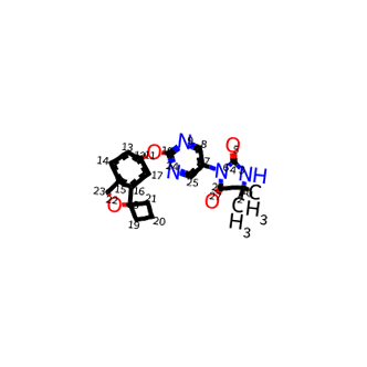 CC1(C)NC(=O)N(c2cnc(Oc3ccc4c(c3)C3(CCC3)OC4)nc2)C1=O